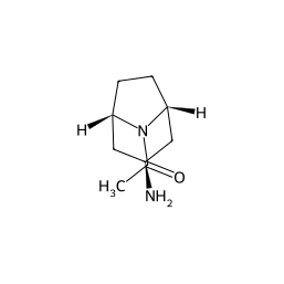 CC(=O)N1[C@@H]2CC[C@H]1C[C@H](N)C2